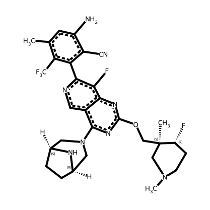 Cc1cc(N)c(C#N)c(-c2ncc3c(N4C[C@H]5CC[C@@H](C4)N5)nc(OC[C@]4(C)CN(C)CC[C@H]4F)nc3c2F)c1C(F)(F)F